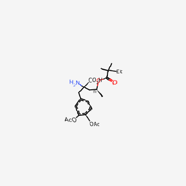 CCC(C)(C)C(=O)O[C@@H](C)CC(N)(Cc1ccc(OC(C)=O)c(OC(C)=O)c1)C(=O)O